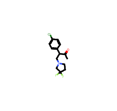 CC(=O)C(CN1CCC(F)(F)C1)c1ccc(Cl)cc1